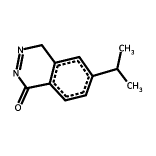 CC(C)c1ccc2c(c1)CN=NC2=O